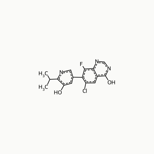 CC(C)c1ncc(-c2c(Cl)cc3c(O)ncnc3c2F)cc1O